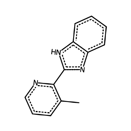 Cc1cccnc1-c1nc2ccccc2[nH]1